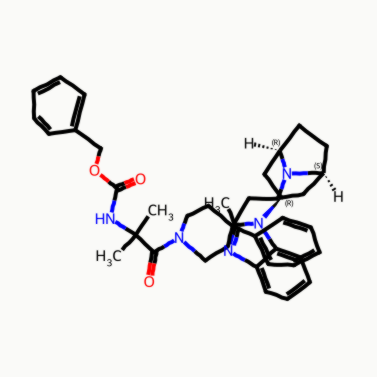 Cc1nc2ccccc2n1[C@H]1C[C@H]2CC[C@@H](C1)N2CCC1(c2ccccc2)CCN(C(=O)C(C)(C)NC(=O)OCc2ccccc2)CC1